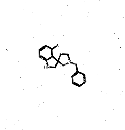 Clc1cccc2c1C1(CCN(Cc3ccccc3)C1)CN2